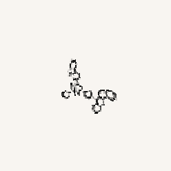 c1ccc(-c2nc(-c3ccc(-c4c5ccccc5cc5c4ccc4ccccc45)cc3)nc(-c3ccc4c(c3)sc3ccccc34)n2)cc1